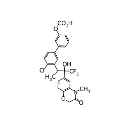 CC(c1cc(-c2cccc(OC(=O)O)c2)ccc1Cl)C(O)(c1ccc2c(c1)N(C)C(=O)CO2)C(F)(F)F